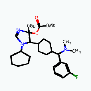 CCCCC1(OC(=O)OC)N=CN(C2CCCCC2)C1C1CCC(C(c2cccc(F)c2)N(C)C)CC1